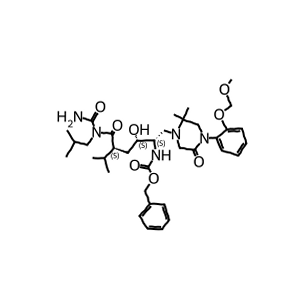 COCOc1ccccc1N1CC(C)(C)N(C[C@H](NC(=O)OCc2ccccc2)[C@@H](O)C[C@H](C(=O)N(CC(C)C)C(N)=O)C(C)C)CC1=O